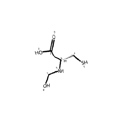 O=C(O)[C@H](CS)NCO